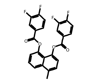 Cc1ccc(OC(=O)c2ccc(F)c(F)c2)c2c(OC(=O)c3ccc(F)c(F)c3)cccc12